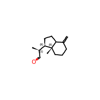 C=C1CCC[C@@]2(C)C1CC[C@@H]2[C@H](C)C=O